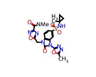 CNC(=O)c1noc(Cn2c(=O)n(-c3nnc(C)o3)c3cc(S(=O)(=O)NC4(C)CC4)ccc32)n1